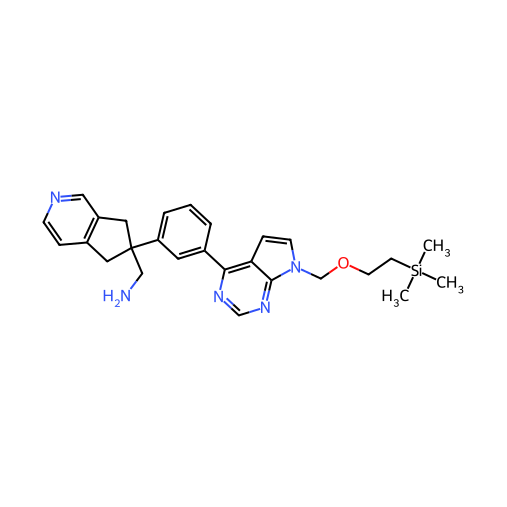 C[Si](C)(C)CCOCn1ccc2c(-c3cccc(C4(CN)Cc5ccncc5C4)c3)ncnc21